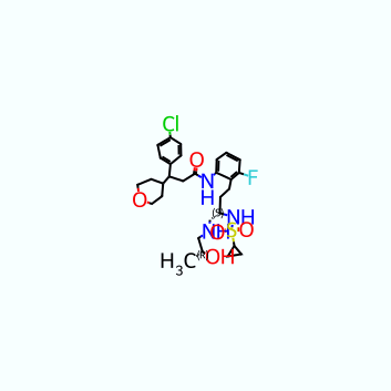 C[C@@H](O)CNC[C@H](CCc1c(F)cccc1NC(=O)CC(c1ccc(Cl)cc1)C1CCOCC1)NS(=O)(=O)C1CC1